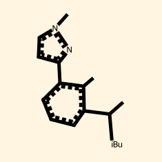 CCC(C)C(C)c1cccc(-c2ccn(C)n2)c1C